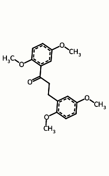 COc1ccc(OC)c(CCC(=O)c2cc(OC)ccc2OC)c1